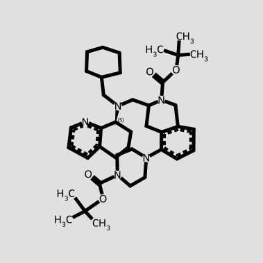 CC(C)(C)OC(=O)N1CCN(c2cccc3c2CC(CN(CC2CCCCC2)[C@H]2CCCc4cccnc42)N(C(=O)OC(C)(C)C)C3)CC1